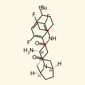 CC(C)(C)C1CCC(NC(=O)CC(=O)N2[C@@H]3CC[C@H]2C[C@H]([C@H](N)Cc2cc(F)c(F)cc2F)C3)CC1